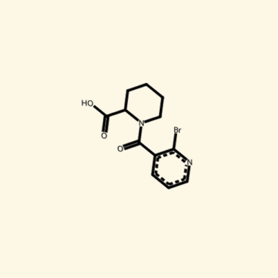 O=C(O)C1CCCCN1C(=O)c1cccnc1Br